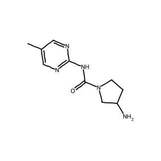 Cc1cnc(NC(=O)N2CCC(N)C2)nc1